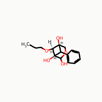 CCCO[C@@H]1[C@@]2(O)C(O)OC[C@]1(O)C2c1ccccc1